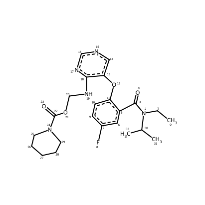 CCN(C(=O)c1cc(F)ccc1Oc1cncnc1NCOC(=O)N1CCCCC1)C(C)C